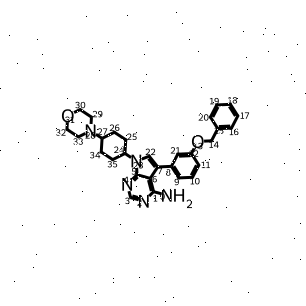 Nc1ncnc2c1c(-c1cccc(OCc3ccccc3)c1)cn2C1CCC(N2CCOCC2)CC1